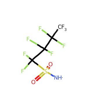 [NH]S(=O)(=O)C(F)(F)C(F)(F)C(F)(F)C(F)(F)F